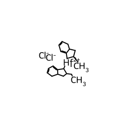 CCC1CC2CC=CC=C2[CH]1[Hf+2][CH]1C2=CC=CCC2CC1CC.[Cl-].[Cl-]